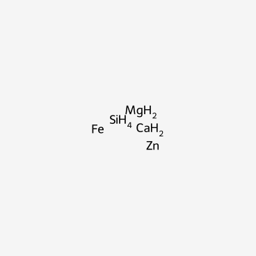 [CaH2].[Fe].[MgH2].[SiH4].[Zn]